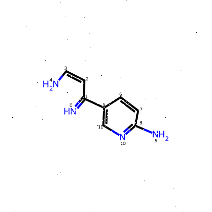 N=C(/C=C\N)c1ccc(N)nc1